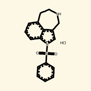 Cl.O=S(=O)(c1ccccc1)n1cc2c3c(cccc31)CCNC2